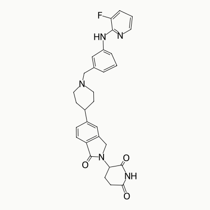 O=C1CCC(N2Cc3cc(C4CCN(Cc5cccc(Nc6ncccc6F)c5)CC4)ccc3C2=O)C(=O)N1